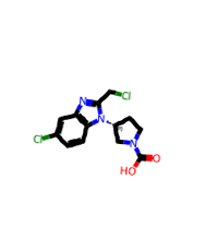 O=C(O)N1CC[C@@H](n2c(CCl)nc3cc(Cl)ccc32)C1